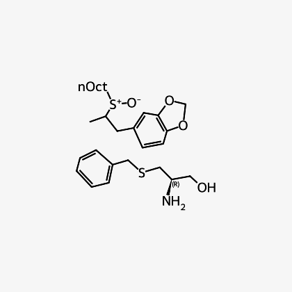 CCCCCCCC[S+]([O-])C(C)Cc1ccc2c(c1)OCO2.N[C@H](CO)CSCc1ccccc1